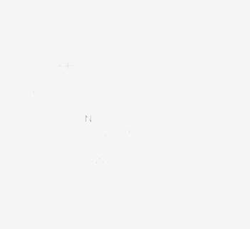 O=C(OCc1ccccc1)N1CC(O)(C(F)(F)F)C1